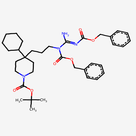 CC(C)(C)OC(=O)N1CCC(CCCN(C(=O)OCc2ccccc2)/C(N)=N/C(=O)OCc2ccccc2)(C2CCCCC2)CC1